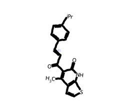 Cc1c(C(=O)/C=C/c2ccc(C(C)C)cc2)c(=O)[nH]c2sccc12